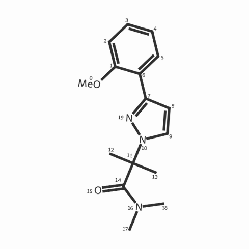 COc1ccccc1-c1ccn(C(C)(C)C(=O)N(C)C)n1